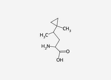 CC(CC(N)C(=O)O)C1(C)CC1